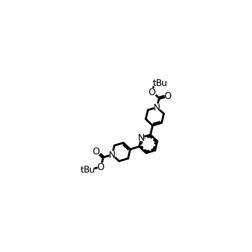 CC(C)(C)OC(=O)N1CC=C(c2cccc(C3=CCN(C(=O)OC(C)(C)C)CC3)n2)CC1